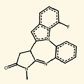 CN1C(=O)CC2C1=Nc1ccccc1-n1c2cc2cccc(F)c21